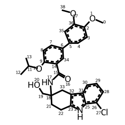 COc1ccc(-c2ccc(OC(C)C)c(C(=O)NC3(CO)CCc4[nH]c5c(Cl)cccc5c4C3)c2)cc1OC